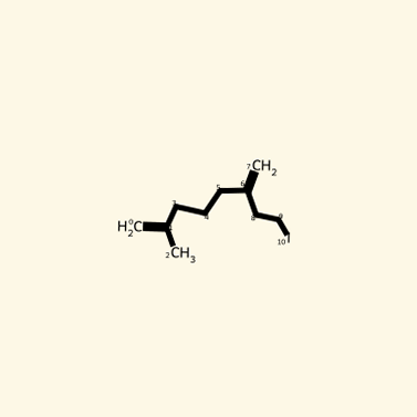 C=C(C)CCCC(=C)CCI